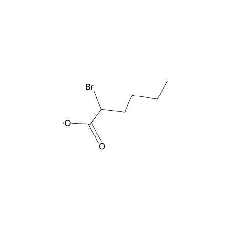 CCCCC(Br)C([O])=O